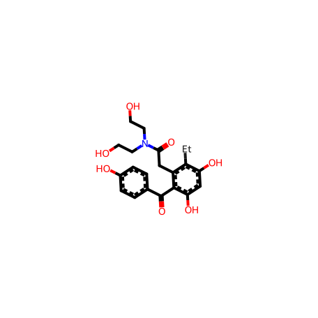 CCc1c(O)cc(O)c(C(=O)c2ccc(O)cc2)c1CC(=O)N(CCO)CCO